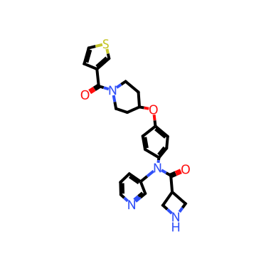 O=C(c1ccsc1)N1CCC(Oc2ccc(N(C(=O)C3CNC3)c3cccnc3)cc2)CC1